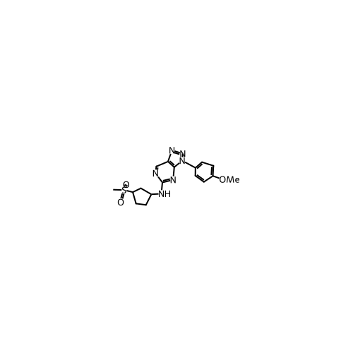 COc1ccc(-n2nnc3cnc(NC4CCC(S(C)(=O)=O)C4)nc32)cc1